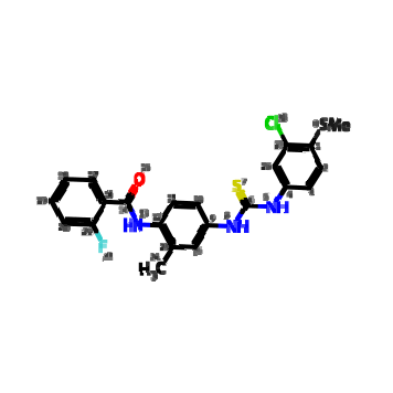 CSc1ccc(NC(=S)Nc2ccc(NC(=O)c3ccccc3F)c(C)c2)cc1Cl